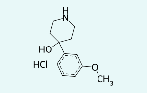 COc1cccc(C2(O)CCNCC2)c1.Cl